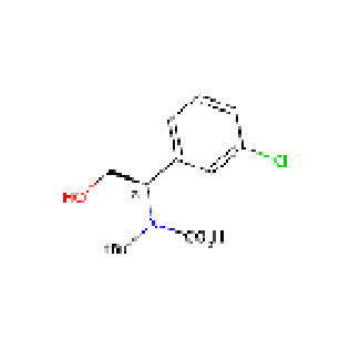 CC(C)(C)N(C(=O)O)[C@@H](CO)c1cccc(Cl)c1